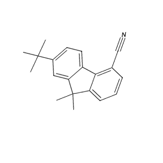 CC(C)(C)c1ccc2c(c1)C(C)(C)c1cccc(C#N)c1-2